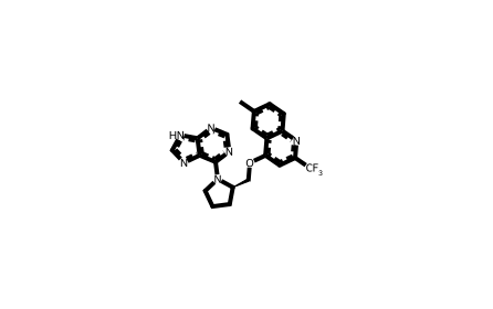 Cc1ccc2nc(C(F)(F)F)cc(OC[C@H]3CCCN3c3ncnc4[nH]cnc34)c2c1